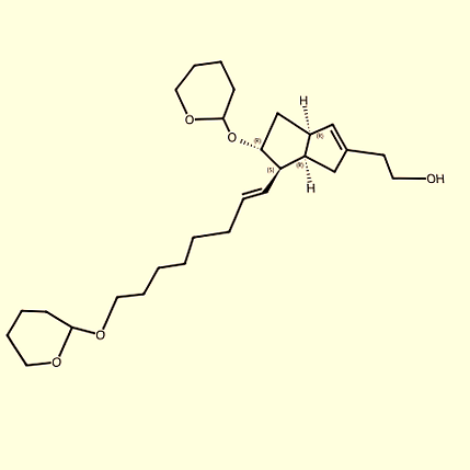 OCCC1=C[C@@H]2C[C@@H](OC3CCCCO3)[C@H](C=CCCCCCCOC3CCCCO3)[C@@H]2C1